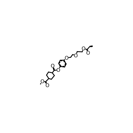 C=CC(=O)OCCOCCOc1ccc(OC(=O)C2CCC(C(=O)OC)CC2)cc1